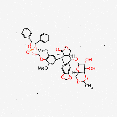 COc1cc([C@@H]2c3cc4c(cc3[C@@H](O[C@@H]3O[C@@H]5COC(C)OC5[C@H](O)[C@H]3O)[C@H]3COC(=O)[C@H]23)OCO4)cc(OC)c1OCOP(=O)(OCc1ccccc1)OCc1ccccc1